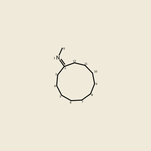 CN=C1CCCCCCCCCC1